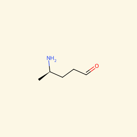 C[C@@H](N)CCC=O